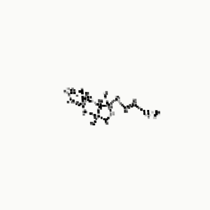 CC1(CC=CC(=O)O)CCC(C)(CC=CC(=O)O)N1O